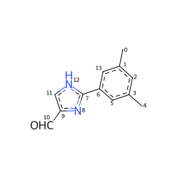 Cc1cc(C)cc(-c2nc(C=O)c[nH]2)c1